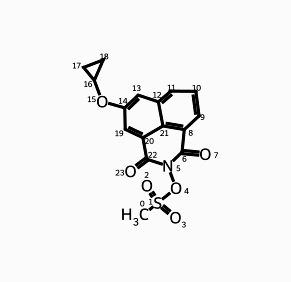 CS(=O)(=O)ON1C(=O)c2cccc3cc(OC4CC4)cc(c23)C1=O